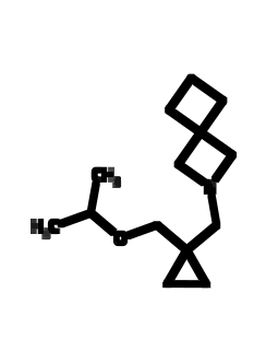 CC(C)OCC1(CN2CC3(CCC3)C2)CC1